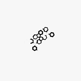 C/C=C(\C=C/CC)N(C1=CC2=C(CC1)C1=C(OC(N(C3=CCCC(C)=C3)c3ccccc3)CC1)C21c2ccccc2[C@@H]2C=CCCC21)c1cccc(C)c1